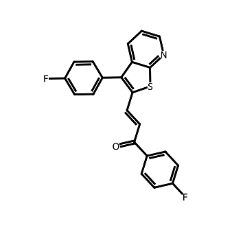 O=C(C=Cc1sc2ncccc2c1-c1ccc(F)cc1)c1ccc(F)cc1